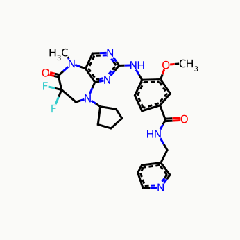 COc1cc(C(=O)NCc2cccnc2)ccc1Nc1ncc2c(n1)N(C1CCCC1)CC(F)(F)C(=O)N2C